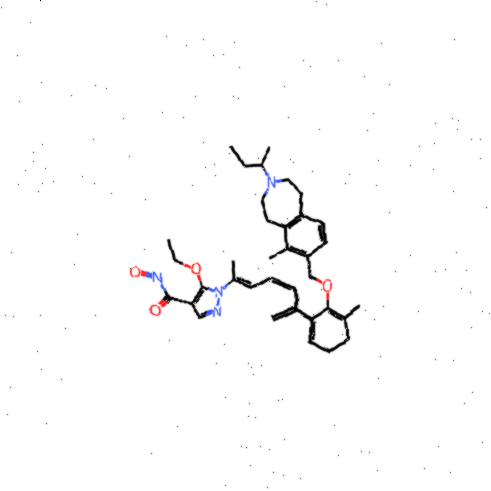 C=C(/C=C\C=C(/C)n1ncc(C(=O)N=O)c1OCC)C1=CCCC(C)=C1OCc1ccc2c(c1C)CCN(C(C)CC)CC2